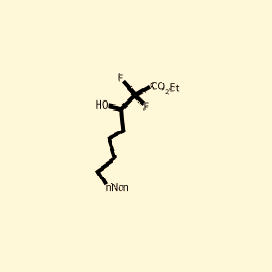 CCCCCCCCCCCCCC(O)C(F)(F)C(=O)OCC